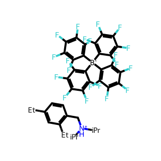 CCc1ccc(C[NH+](C(C)C)C(C)C)c(CC)c1.Fc1c(F)c(F)c([B-](c2c(F)c(F)c(F)c(F)c2F)(c2c(F)c(F)c(F)c(F)c2F)c2c(F)c(F)c(F)c(F)c2F)c(F)c1F